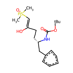 CC(C)(C)OC(=O)N[C@@H](CC/C(O)=C/[SH](C)(C)=O)Cc1ccccc1